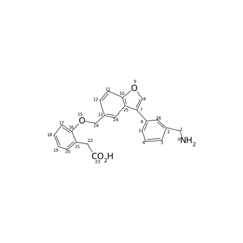 NCc1cccc(-c2coc3ccc(COc4ccccc4CC(=O)O)cc23)c1